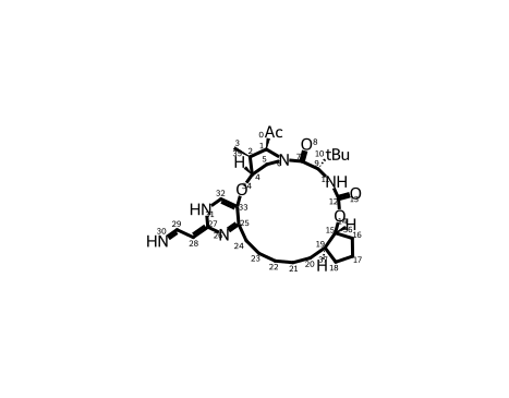 CC(=O)[C@@H]1[C@H](C)[C@@H]2CN1C(=O)[C@H](C(C)(C)C)NC(=O)O[C@@H]1CCC[C@H]1CCCCCC1=N/C(=C/C=N)NC=C1O2